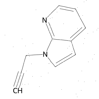 C#CCn1ccc2cccnc21